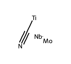 N#[C][Ti].[Mo].[Nb]